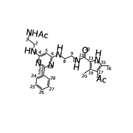 CC(=O)NCCNc1cc(NCCNC(=O)c2[nH]c(C)c(C(C)=O)c2C)nc(-c2ccccc2)n1